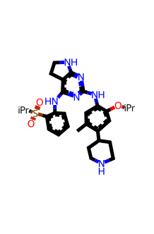 Cc1cc(Nc2nc3c(c(Nc4ccccc4S(=O)(=O)C(C)C)n2)CCN3)c(OC(C)C)cc1C1CCNCC1